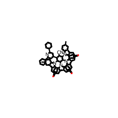 Cc1ccc2c(c1)c1cc(C)ccc1n2-c1c(C#N)c(-c2cc(-c3ccccc3)nc(-c3ccccc3)c2)c(-n2c3ccc(C)cc3c3cc(C)ccc32)c(-n2c3ccc(C)cc3c3cc(C)ccc32)c1-n1c2ccc(C)cc2c2cc(C)ccc21